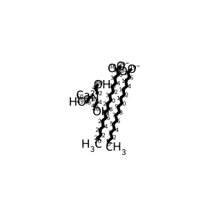 CCCCCCCCCCCCCCCCCC(=O)[O-].CCCCCCCCCCCCCCCCCC(=O)[O-].OCCN(CCO)CCO.[Ca+2]